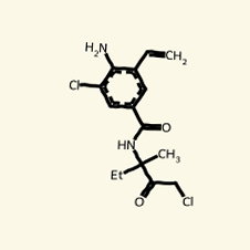 C=Cc1cc(C(=O)NC(C)(CC)C(=O)CCl)cc(Cl)c1N